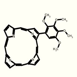 COc1cc(C2=CC3=CC4=NC(=CC5=NC(=CC6=NC(=CC2=N3)C=C6)C=C5)C=C4)c(OC)c(OC)c1OC